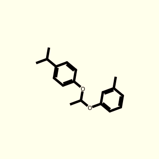 Cc1cccc(OC(C)Oc2ccc(C(C)C)cc2)c1